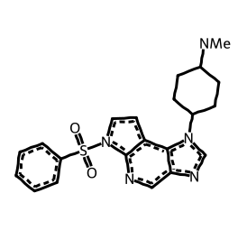 CNC1CCC(n2cnc3cnc4c(ccn4S(=O)(=O)c4ccccc4)c32)CC1